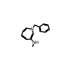 CNC1=CN(Cc2ccccc2)C=CC=C1